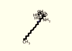 CCCCCCCCCCCCC/C=C/[C@@H](O)[C@@H](N)C(C=O)(C=O)OP(=O)(O)O